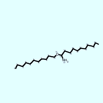 CCCCCCCCCCCOC(N)CCCCCCCCCC